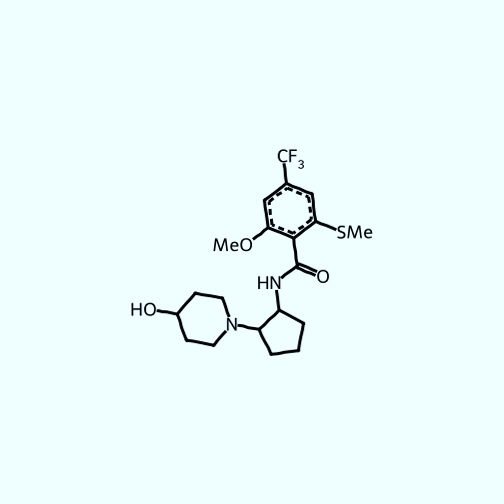 COc1cc(C(F)(F)F)cc(SC)c1C(=O)NC1CCCC1N1CCC(O)CC1